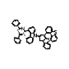 c1ccc(-c2nc(-c3ccccc3)nc(-c3cccc4c3c3ccccc3n4-c3cc(-c4cccc5sc6ccccc6c45)c4sc5ccccc5c4c3)n2)cc1